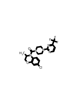 CC1COc2cc(Cl)ccc2N1C(=O)N1CCN(c2nccc(C(F)(F)F)n2)CC1